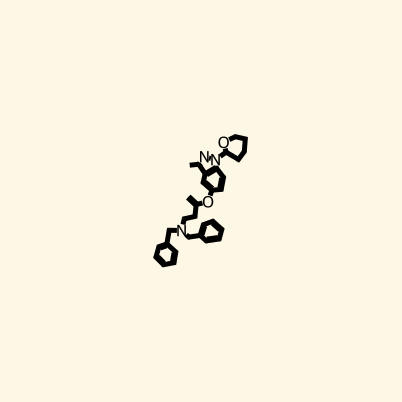 C=C(CCN(Cc1ccccc1)Cc1ccccc1)Oc1ccc2c(c1)c(C)nn2C1CCCCO1